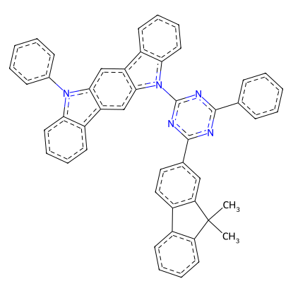 CC1(C)c2ccccc2-c2ccc(-c3nc(-c4ccccc4)nc(-n4c5ccccc5c5cc6c(cc54)c4ccccc4n6-c4ccccc4)n3)cc21